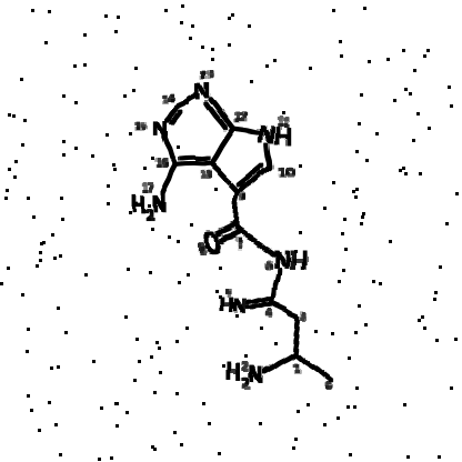 CC(N)CC(=N)NC(=O)c1c[nH]c2ncnc(N)c12